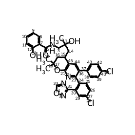 CC(O)(CNC(=O)c1ccccc1O)CC1CC(C)(C)Oc2nc(-c3ccc(Cl)cc3-c3ncon3)c(-c3ccc(Cl)cc3)cc21